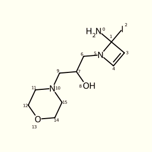 NC1(I)C=CN1CC(O)CN1CCOCC1